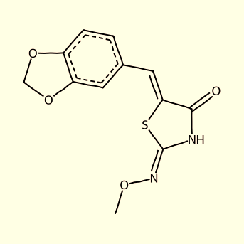 CON=C1NC(=O)C(=Cc2ccc3c(c2)OCO3)S1